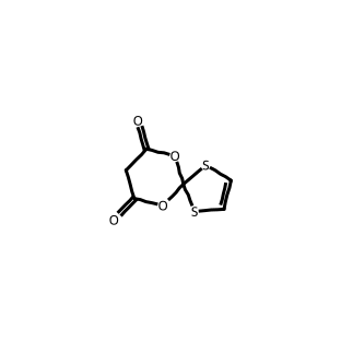 O=C1CC(=O)OC2(O1)SC=CS2